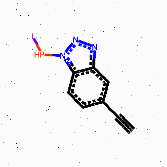 C#Cc1ccc2c(c1)nnn2PI